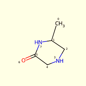 CC1CNCC(=O)N1